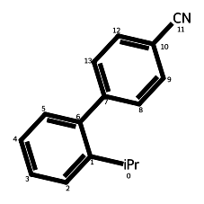 CC(C)c1ccccc1-c1ccc(C#N)cc1